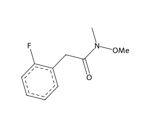 CON(C)C(=O)Cc1ccccc1F